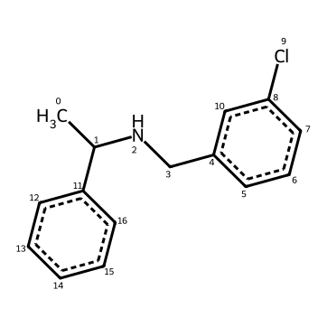 CC(NCc1cccc(Cl)c1)c1ccccc1